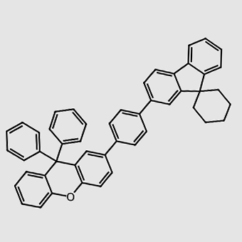 c1ccc(C2(c3ccccc3)c3ccccc3Oc3ccc(-c4ccc(-c5ccc6c(c5)C5(CCCCC5)c5ccccc5-6)cc4)cc32)cc1